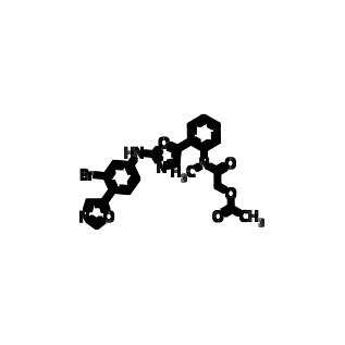 CC(=O)OCC(=O)N(C)c1ccccc1-c1cnc(Nc2ccc(-c3cnco3)c(Br)c2)o1